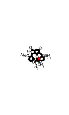 COc1ccccc1C1NC(=O)c2cc(Br)c3c(c21)O[C@@]12CC(Br)C(=O)C(C)(C)[C@@H]1CC[C@H](C)[C@@]2(C)C3